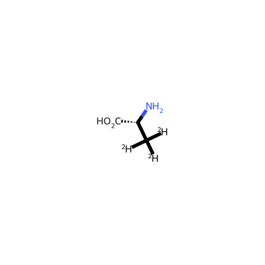 [2H]C([2H])([2H])[C@@H](N)C(=O)O